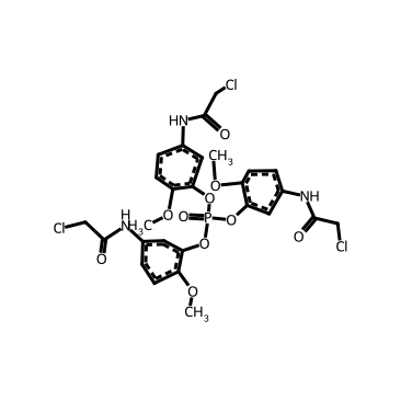 COc1ccc(NC(=O)CCl)cc1OP(=O)(Oc1cc(NC(=O)CCl)ccc1OC)Oc1cc(NC(=O)CCl)ccc1OC